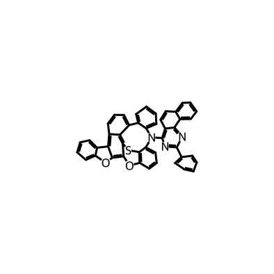 c1ccc(-c2nc(N3c4ccccc4-c4cccc5c4c4c(c6oc7ccccc7c65)Oc5cccc3c5S4)c3ccc4ccccc4c3n2)cc1